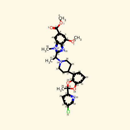 COC(=O)c1cc(OC)c2nc(C(C)N3CCC(c4cccc5c4O[C@@](C)(c4ccc(Cl)cn4)O5)CC3)n(C)c2c1